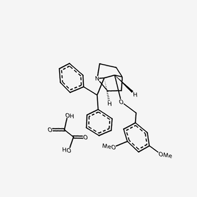 COc1cc(CO[C@H]2C3CCN(CC3)[C@@H]2C(c2ccccc2)c2ccccc2)cc(OC)c1.O=C(O)C(=O)O